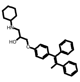 C/C(=C(/c1ccccc1)c1ccc(OCC(O)CNC2CCCCC2)cc1)c1ccccc1